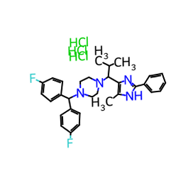 Cc1[nH]c(-c2ccccc2)nc1C(C(C)C)N1CCN(C(c2ccc(F)cc2)c2ccc(F)cc2)CC1.Cl.Cl.Cl